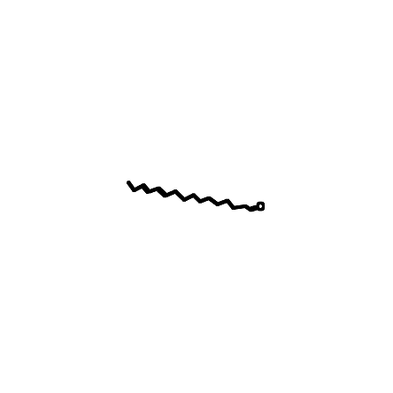 CCC=C/C=C/CCCCCCCCCC=O